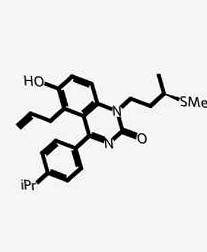 C=CCc1c(O)ccc2c1c(-c1ccc(C(C)C)cc1)nc(=O)n2CC[C@@H](C)SC